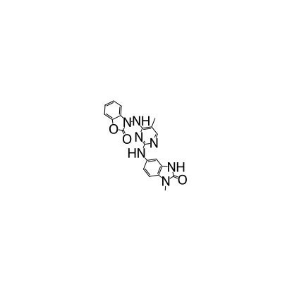 Cc1cnc(Nc2ccc3c(c2)[nH]c(=O)n3C)nc1Nn1c(=O)oc2ccccc21